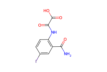 NC(=O)c1cc(I)ccc1NC(=O)C(=O)O